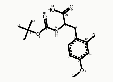 COc1ccc(CC(NC(=O)OC(C)(C)C)C(=O)O)c(C)c1